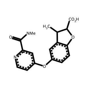 CNC(=O)c1cc(Oc2ccc3c(c2)C(C)C(C(=O)O)O3)ccn1